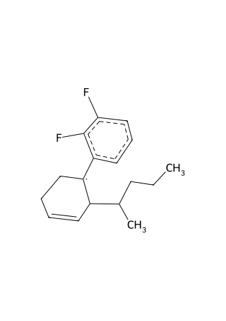 CCCC(C)C1C=CCC[C]1c1cccc(F)c1F